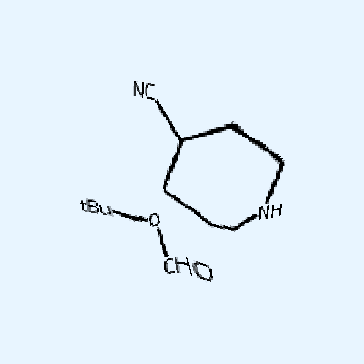 CC(C)(C)OC=O.N#CC1CCNCC1